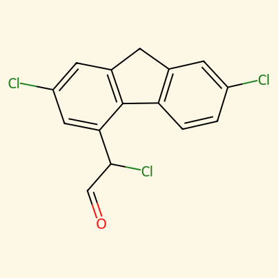 O=CC(Cl)c1cc(Cl)cc2c1-c1ccc(Cl)cc1C2